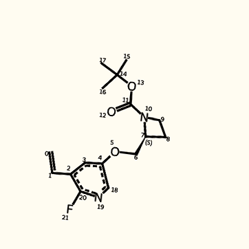 C=Cc1cc(OC[C@@H]2CCN2C(=O)OC(C)(C)C)cnc1F